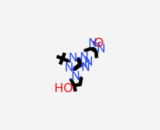 Cc1nonc1Cn1nnc2c(N3CCC(C)(O)C3)nc(C(C)(C)C)nc21